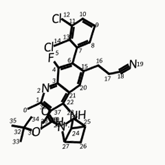 Cc1nc2c(F)c(-c3cccc(Cl)c3Cl)c(CCC#N)cc2c(N[C@H]2C3CC2N(C(=O)OC(C)(C)C)C3)c1I